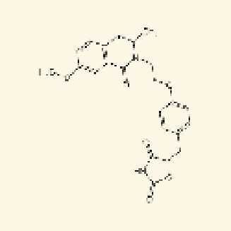 COc1ccc2c(c1)C(=O)N(CCOc1ccc(CC3SC(=O)NC3=O)cc1)C(C)S2